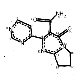 NC(=O)c1c(-c2ccncn2)nc2n(c1=O)CC[C]2